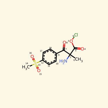 CC(N)(C(=O)OCl)C(=O)c1ccc(S(C)(=O)=O)cc1